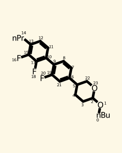 CCCCOC1CCC(c2ccc(-c3ccc(CCC)c(F)c3F)c(F)c2)CO1